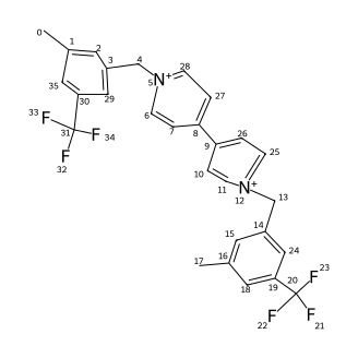 Cc1cc(C[n+]2ccc(-c3cc[n+](Cc4cc(C)cc(C(F)(F)F)c4)cc3)cc2)cc(C(F)(F)F)c1